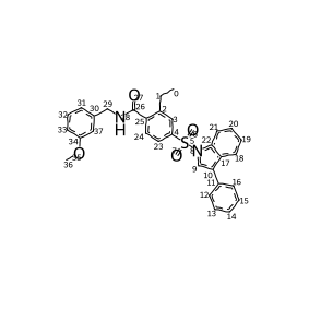 CCc1cc(S(=O)(=O)n2cc(-c3ccccc3)c3ccccc32)ccc1C(=O)NCc1cccc(OC)c1